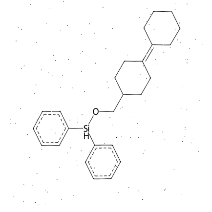 c1ccc([SiH](OCC2CCC(=C3CCCCC3)CC2)c2ccccc2)cc1